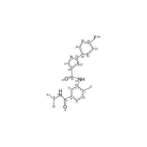 Cc1ccc(C(=O)NC(C)C)cc1NC(=O)c1ccc(-c2ccc(F)cc2)s1